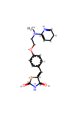 CN(CCOc1ccc(/C=C2\SC(=O)NC2=O)cc1)C1=CCCC=N1